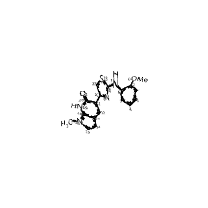 COc1ccccc1Nc1nc(-c2cc3ccn(C)c3[nH]c2=O)cs1